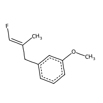 COc1cccc(C/C(C)=C/F)c1